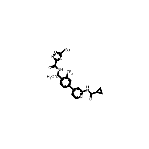 C[C@H](NC(=O)c1noc(C(C)(C)C)n1)c1ccc(-c2ccnc(NC(=O)C3CC3)c2)cc1C(F)(F)F